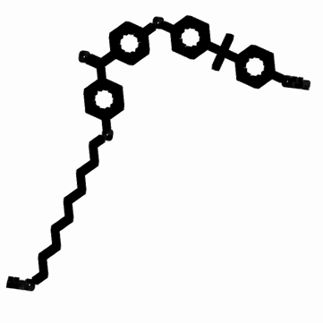 COCCCCCCCCCCOc1ccc(C(=O)c2ccc(Oc3ccc(C(C)(C)c4ccc(OC)cc4)cc3)cc2)cc1